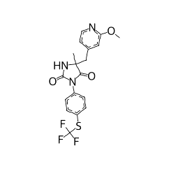 COc1cc(CC2(C)NC(=O)N(c3ccc(SC(F)(F)F)cc3)C2=O)ccn1